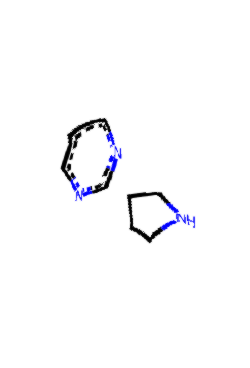 C1CCNC1.c1cncnc1